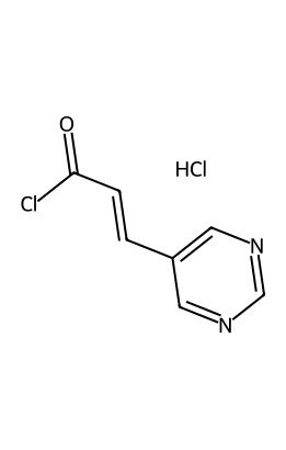 Cl.O=C(Cl)C=Cc1cncnc1